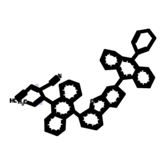 C#C/C=C(C#N)\C(=C/C)c1c2ccccc2c(-c2cccc3c2oc2cc(-c4c5ccccc5c(C5=CCCC=C5)c5ccccc45)ccc23)c2ccccc12